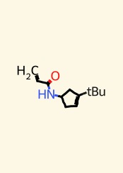 C=CC(=O)NC1CC=C(C(C)(C)C)C1